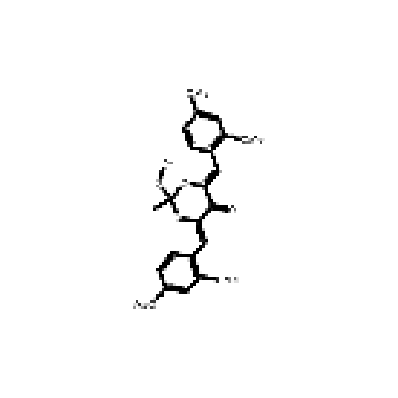 CCOC1(C)O/C(=C\c2ccc(OC)cc2OC)C(=O)/C(=C/c2ccc(OC)cc2OC)O1